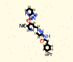 CC(C)c1ccc(CC(=O)Nc2ccn(Cc3cc(On4nnc5cccnc54)c(C#N)cn3)n2)cc1